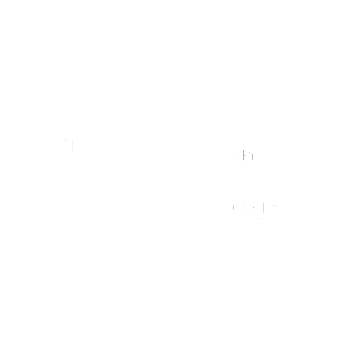 CCOC(=O)C(C=Cc1ccc(Cl)cc1)C(C)C